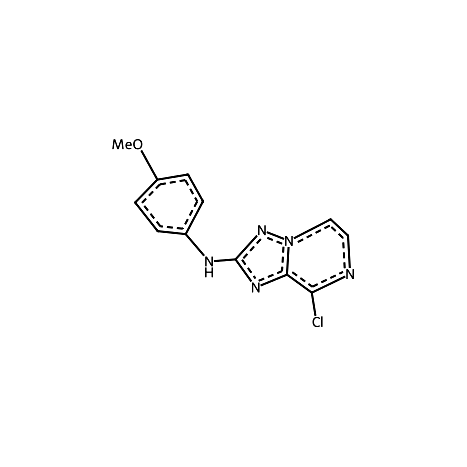 COc1ccc(Nc2nc3c(Cl)nccn3n2)cc1